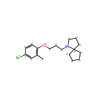 Cc1cc(Br)ccc1OCCCN1CCCC12CCCC2